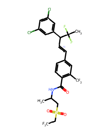 CC(CS(=O)(=O)CC(F)(F)F)NC(=O)c1ccc(/C=C/C(c2cc(Cl)cc(Cl)c2)C(C)(F)F)cc1C(F)(F)F